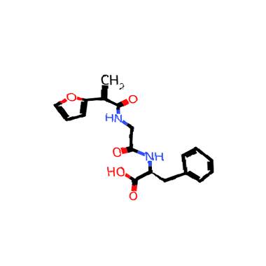 C=C(C(=O)NCC(=O)N[C@@H](Cc1ccccc1)C(=O)O)c1ccco1